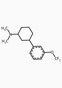 CN(C)C1CCCC(c2cccc(OC(F)(F)F)c2)C1